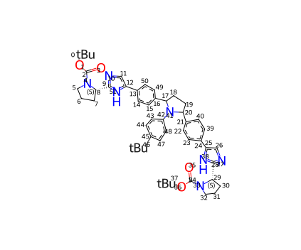 CC(C)(C)OC(=O)N1CCC[C@H]1c1ncc(-c2ccc(C3CCC(c4ccc(-c5cnc([C@@H]6CCCN6C(=O)OC(C)(C)C)[nH]5)cc4)N3c3ccc(C(C)(C)C)cc3)cc2)[nH]1